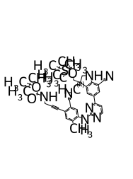 Cc1cc(C#CCNC(=O)OC(C)(C)C)c(C#N)cc1Nc1nccc(-c2cc(C#N)c3c(c2)[C@@](C)(CO[Si](C)(C)C(C)(C)C)CN3)n1